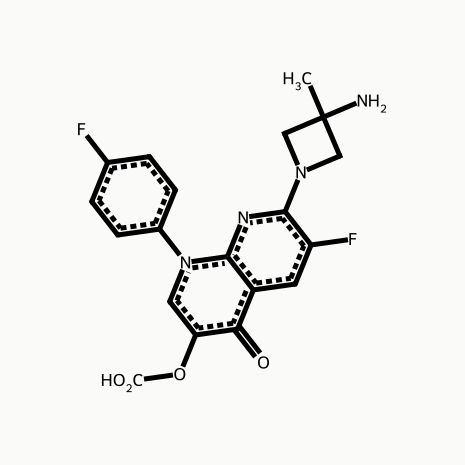 CC1(N)CN(c2nc3c(cc2F)c(=O)c(OC(=O)O)cn3-c2ccc(F)cc2)C1